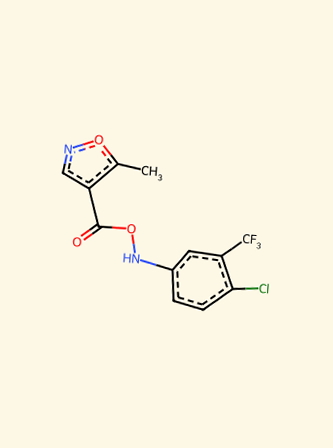 Cc1oncc1C(=O)ONc1ccc(Cl)c(C(F)(F)F)c1